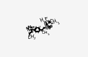 CCCC1(c2ccc(C(C)CNS(=O)(=O)C(C)C)cc2)N=NN=N1